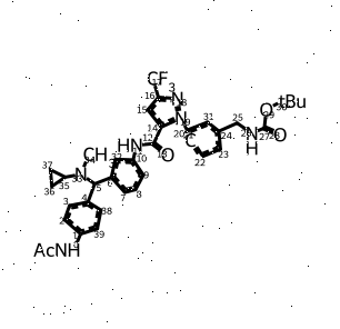 CC(=O)Nc1ccc(C(c2cccc(NC(=O)c3cc(C(F)(F)F)nn3-c3cccc(CNC(=O)OC(C)(C)C)c3)c2)N(C)C2CC2)cc1